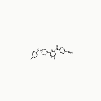 Cc1ccc(SN2CCN(c3nc(C)cc(Nc4ccc(C#N)cc4)n3)CC2)cc1